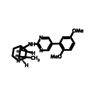 COc1ccc(OC)c(-c2cnc(N[C@H]3C4CCN(CC4)[C@@H]3C)nc2)c1